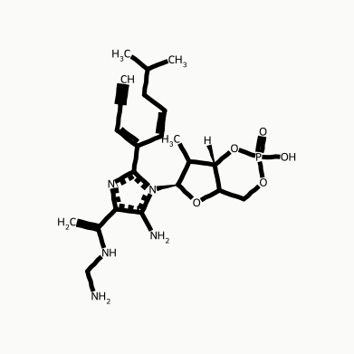 C#C/C=C(\C=C/CC(C)C)c1nc(C(=C)NCN)c(N)n1[C@@H]1OC2COP(=O)(O)O[C@H]2C1C